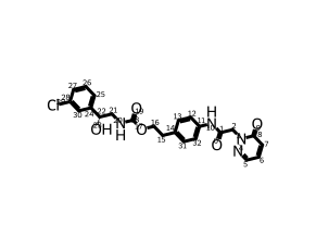 O=C(Cn1ncccc1=O)Nc1ccc(CCOC(=O)NC[C@H](O)c2cccc(Cl)c2)cc1